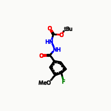 COc1cc(C(=O)NNC(=O)OC(C)(C)C)ccc1F